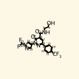 O=C(NCCO)c1cc(-c2ccc(C(F)(F)F)cc2)nn(-c2cnn(C(F)F)c2)c1=O